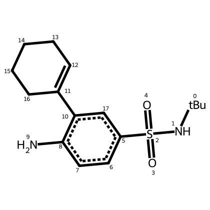 CC(C)(C)NS(=O)(=O)c1ccc(N)c(C2=CCCCC2)c1